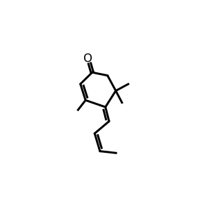 C/C=C\C=C1/C(C)=CC(=O)CC1(C)C